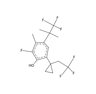 Cc1c(C(C)(C)C(F)(F)F)cc(C2(CC(F)(F)F)CC2)c(O)c1F